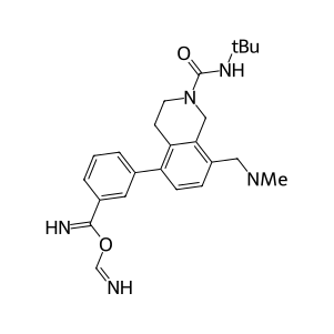 CNCc1ccc(-c2cccc(C(=N)OC=N)c2)c2c1CN(C(=O)NC(C)(C)C)CC2